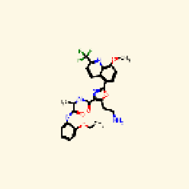 CCOc1ccccc1NC(=O)[C@@H](C)NC(=O)c1nc(-c2ccc(OC)c3nc(C(F)(F)F)ccc23)oc1CCN